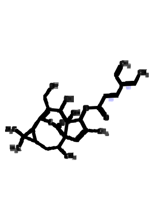 C=CC(/C=C/C(=O)OC1C(C)=CC23C(=O)CC(=C(CO)C(O)C12O)C1C(CC3C)C1(C)C)=C\C